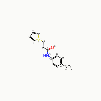 O=C(C=C[SH]1C=CC=C1)Nc1ccc([N+](=O)[O-])cc1